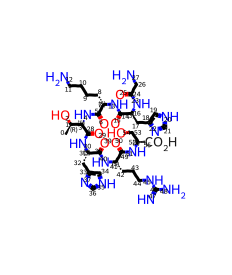 C[C@@H](O)[C@H](NC(=O)[C@H](CCCCN)NC(=O)[C@H](Cc1c[nH]cn1)NC(=O)CN)C(=O)N[C@@H](Cc1c[nH]cn1)C(=O)N[C@@H](CCCNC(=N)N)C(=O)N[C@@H](CO)C(=O)O